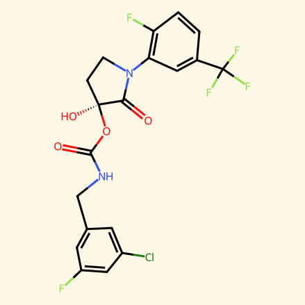 O=C(NCc1cc(F)cc(Cl)c1)O[C@@]1(O)CCN(c2cc(C(F)(F)F)ccc2F)C1=O